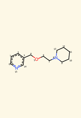 [c]1ccc(COCCN2CCCCC2)cn1